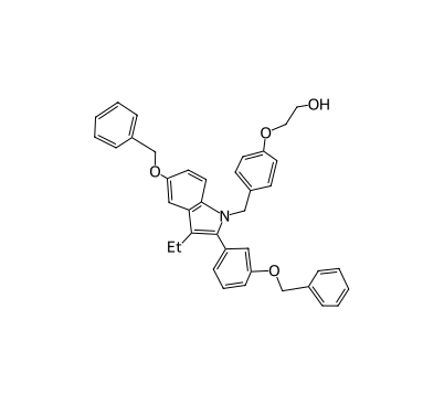 CCc1c(-c2cccc(OCc3ccccc3)c2)n(Cc2ccc(OCCO)cc2)c2ccc(OCc3ccccc3)cc12